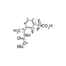 C[C@@H](NC(=O)OC(C)(C)C)c1cccc(C(F)(F)C(=O)O)c1F